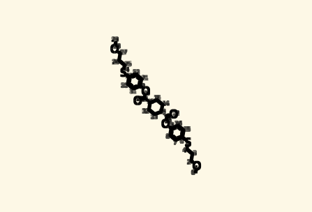 COCCCSc1ccc(OC(=O)[C@H]2CC[C@H](C(=O)Oc3ccc(SCCCOC)cc3)CC2)cc1